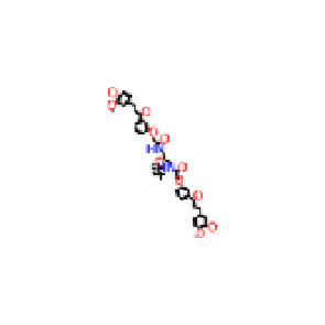 COc1ccc(CCC(=O)c2cccc(OCC(=O)NCC(CNC(=O)COc3cccc(C(=O)CCc4ccc(OC)c(OC)c4)c3)O[Si](C)(C)C(C)(C)C)c2)cc1OC